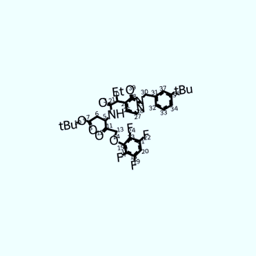 CCC(C(=O)NC(CC(=O)OC(C)(C)C)C(=O)COc1c(F)c(F)cc(F)c1F)c1ccnn(Cc2cccc(C(C)(C)C)c2)c1=O